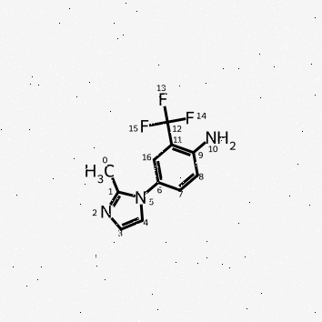 Cc1nccn1-c1ccc(N)c(C(F)(F)F)c1